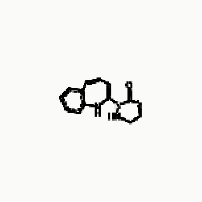 O=C1SCCNN1C1=CC=Cc2ccccc2N1